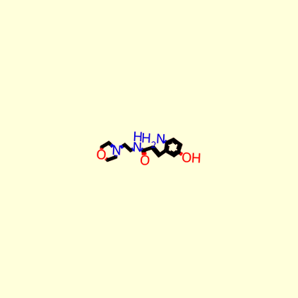 Nc1ccc(O)cc1/C=C/C(=O)NCCN1CCOCC1